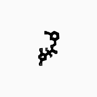 O=C(OCc1cccc(Br)n1)C(F)(F)c1cc(Cl)sc1Cl